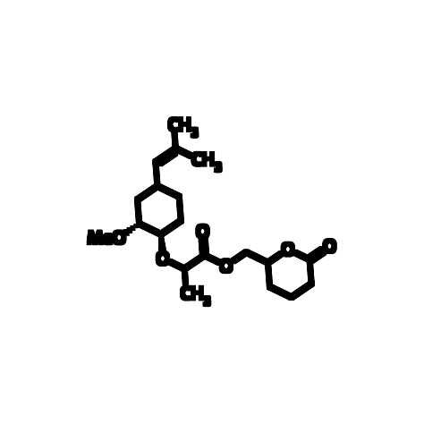 CO[C@@H]1CC(C=C(C)C)CC[C@H]1OC(C)C(=O)OCC1CCCC(=O)O1